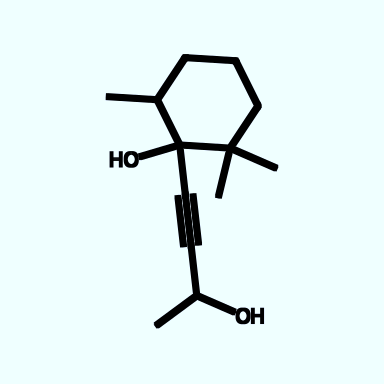 CC(O)C#CC1(O)C(C)CCCC1(C)C